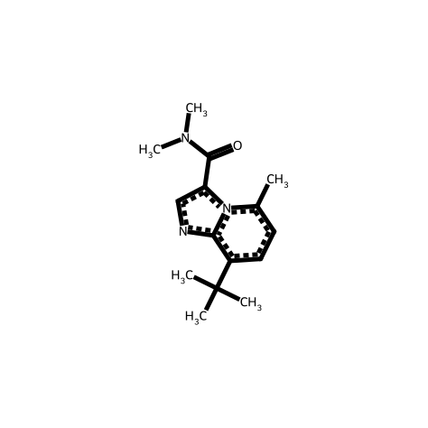 Cc1ccc(C(C)(C)C)c2ncc(C(=O)N(C)C)n12